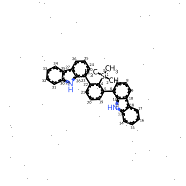 C[Si](C)(C)c1c(-c2cccc3c2[nH]c2ccccc23)cccc1-c1cccc2c1[nH]c1ccccc12